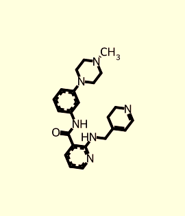 CN1CCN(c2cccc(NC(=O)c3cccnc3NCC3=CC=NCC3)c2)CC1